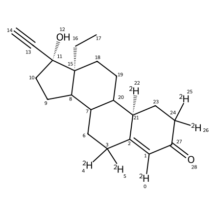 [2H]C1=C2C([2H])([2H])CC3C4CC[C@@](O)(C#C)[C@@]4(CC)CCC3[C@@]2([2H])CC([2H])([2H])C1=O